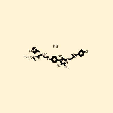 C[C@H](NC(=O)[C@H](Cc1c[nH]cn1)NCCOc1ccc(-c2c(C#N)c(N)nc(SCc3csc(-c4ccc(Cl)cc4)n3)c2C#N)cc1)C(=O)O.Cl.Cl